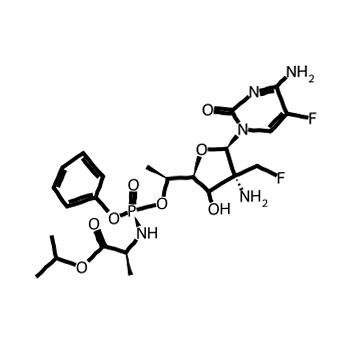 CC(C)OC(=O)[C@H](C)N[P@](=O)(Oc1ccccc1)O[C@@H](C)[C@H]1O[C@@H](n2cc(F)c(N)nc2=O)[C@@](N)(CF)C1O